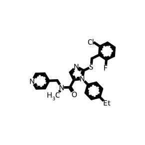 CCc1ccc(-n2c(C(=O)N(C)Cc3ccncc3)cnc2SCc2c(F)cccc2Cl)cc1